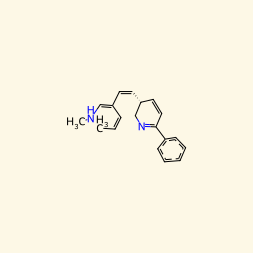 C\C=C/C(/C=C\[C@@H]1C=CC(c2ccccc2)=NC1)=C\NC